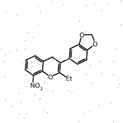 CCC1=C(c2ccc3c(c2)OCO3)Cc2cccc([N+](=O)[O-])c2O1